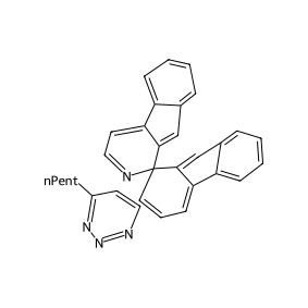 C1=CC2(N=CC=C3C2=Cc2ccccc23)C2=Cc3ccccc3C2=C1.CCCCCc1ccnnn1